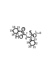 CCOC(=S)C(=CC=C(O)C(=O)c1ccccc1)c1ccccc1